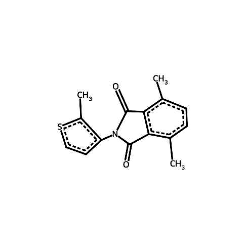 Cc1ccc(C)c2c1C(=O)N(c1ccsc1C)C2=O